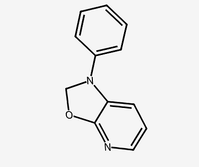 c1ccc(N2COc3ncccc32)cc1